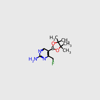 CC1(C)OB(c2cnc(N)nc2CF)OC1(C)C